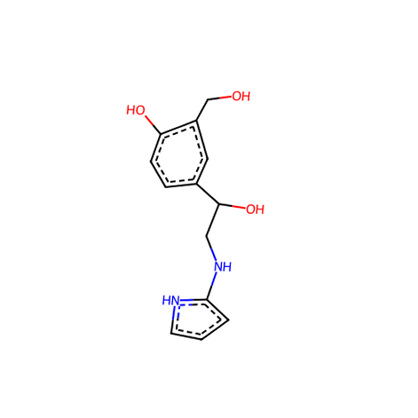 OCc1cc(C(O)CNc2ccc[nH]2)ccc1O